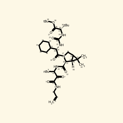 C=CCNC(=O)C(=O)C(CCCC)NC(=O)[C@@H]1[C@@H]2C(CN1C(=O)[C@@H](NC(=O)N[C@H](C(=O)OC(C)(C)C)C(C)(C)C)C1CCCCC1)C2(C)C